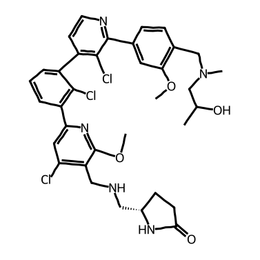 COc1cc(-c2nccc(-c3cccc(-c4cc(Cl)c(CNC[C@@H]5CCC(=O)N5)c(OC)n4)c3Cl)c2Cl)ccc1CN(C)CC(C)O